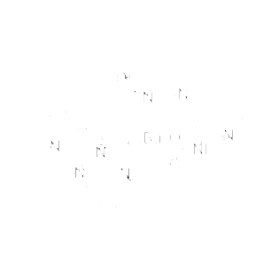 CC(C)(C)OC(=O)Nc1cc(CN2CCN(C(=O)c3ccc(-n4c(-c5ccccn5)nc5cccnc54)cc3)CC2)ccn1